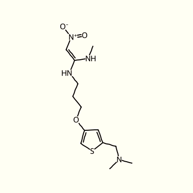 CNC(=C[N+](=O)[O-])NCCCOc1csc(CN(C)C)c1